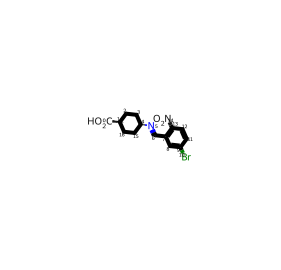 O=C(O)[C@H]1CC[C@H](N=Cc2cc(Br)ccc2[N+](=O)[O-])CC1